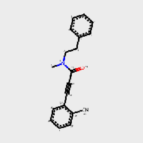 CN(CCc1ccccc1)C(=O)C#Cc1ccccc1C#N